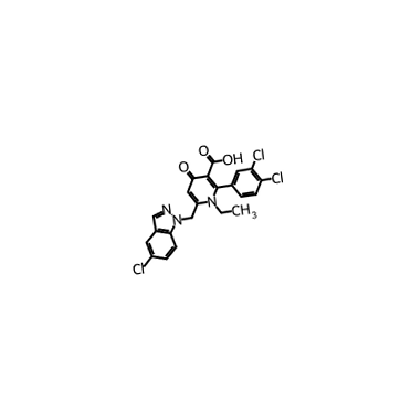 CCn1c(Cn2ncc3cc(Cl)ccc32)cc(=O)c(C(=O)O)c1-c1ccc(Cl)c(Cl)c1